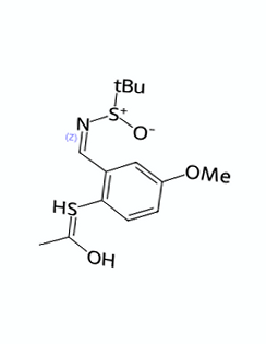 COc1ccc([SH]=C(C)O)c(/C=N\[S+]([O-])C(C)(C)C)c1